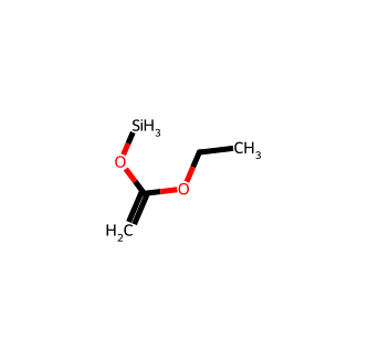 C=C(O[SiH3])OCC